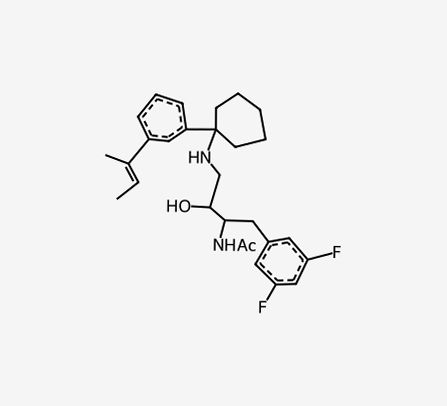 CC=C(C)c1cccc(C2(NCC(O)C(Cc3cc(F)cc(F)c3)NC(C)=O)CCCCC2)c1